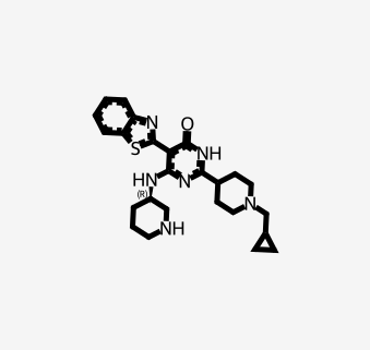 O=c1[nH]c(C2CCN(CC3CC3)CC2)nc(N[C@@H]2CCCNC2)c1-c1nc2ccccc2s1